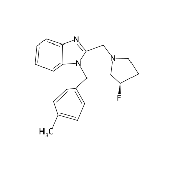 Cc1ccc(Cn2c(CN3CC[C@@H](F)C3)nc3ccccc32)cc1